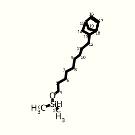 C[SiH](C)OCCCCCCCCCC1CC2C=CC1C2